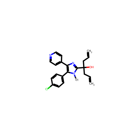 C=CCC(O)(CC=C)c1nc(-c2ccncc2)c(-c2ccc(Cl)cc2)n1CC